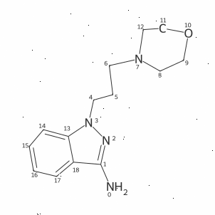 Nc1nn(CCCN2CCOCC2)c2ccccc12